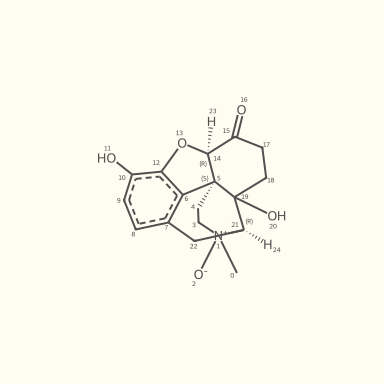 C[N+]1([O-])CC[C@]23c4c5ccc(O)c4O[C@H]2C(=O)CCC3(O)[C@H]1C5